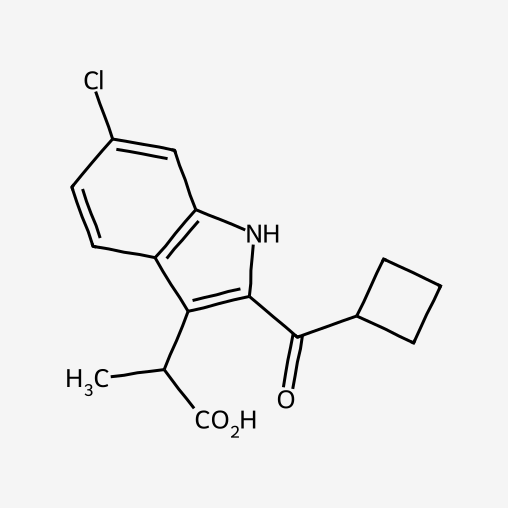 CC(C(=O)O)c1c(C(=O)C2CCC2)[nH]c2cc(Cl)ccc12